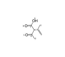 C=CC.CC(=O)CC(=O)O